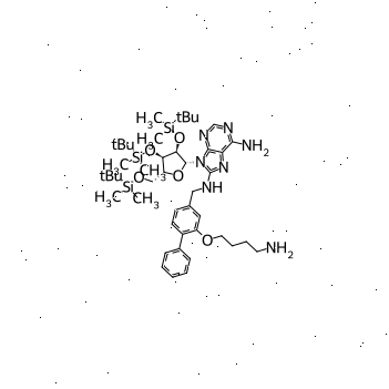 CC(C)(C)[Si](C)(C)OC[C@H]1O[C@@H](n2c(NCc3ccc(-c4ccccc4)c(OCCCCN)c3)nc3c(N)ncnc32)[C@H](O[Si](C)(C)C(C)(C)C)[C@@H]1O[Si](C)(C)C(C)(C)C